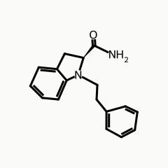 NC(=O)[C@@H]1Cc2ccccc2N1CCc1ccccc1